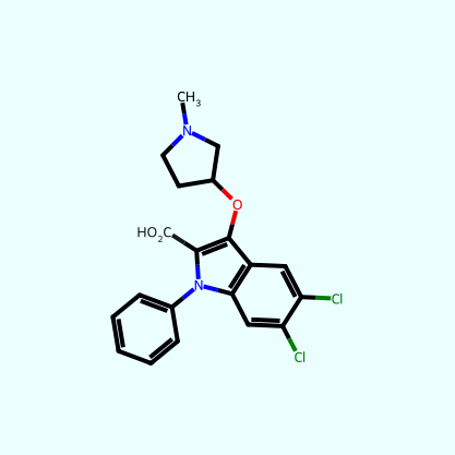 CN1CCC(Oc2c(C(=O)O)n(-c3ccccc3)c3cc(Cl)c(Cl)cc23)C1